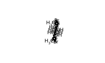 Cc1cc(C=C(O)[C@@H](O)[C@@H](O)[C@H](O)[C@@H](O)C(O)=Cc2ccc(Br)c(C)c2)ccc1Br